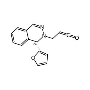 O=C=CCN1N=Cc2ccccc2[C@H]1c1ccco1